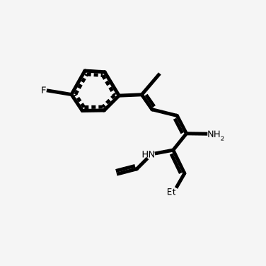 C=CNC(=C\CC)/C(N)=C\C=C(/C)c1ccc(F)cc1